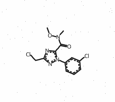 CON(C)C(=O)c1nc(CCl)nn1-c1cccc(Cl)c1